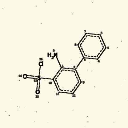 Nc1c(-c2ccccc2)cccc1S(=O)(=O)Cl